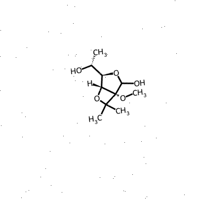 CO[C@@]12C(O)O[C@H]([C@@H](C)O)[C@H]1OC2(C)C